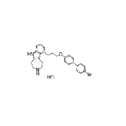 Brc1ccc(-c2ccc(OCCCc3cccc4[nH]c5c(c34)CCNCC5)cc2)cc1.Cl